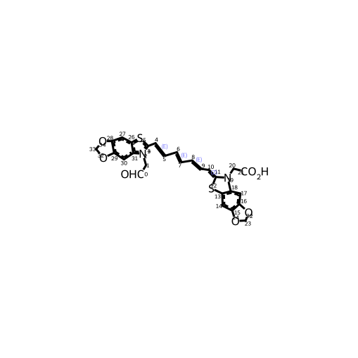 O=CC[n+]1c(/C=C/C=C/C=C/C=C2\Sc3cc4c(cc3N2CC(=O)O)OCO4)sc2cc3c(cc21)OCO3